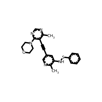 Cc1ncc(C#Cc2c(C)ncnc2N2CCOCC2)cc1NSc1ccccc1